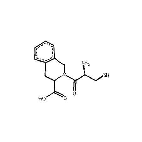 N[C@@H](CS)C(=O)N1Cc2ccccc2CC1C(=O)O